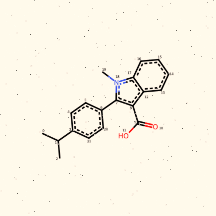 CC(C)c1ccc(-c2c(C(=O)O)c3ccccc3n2C)cc1